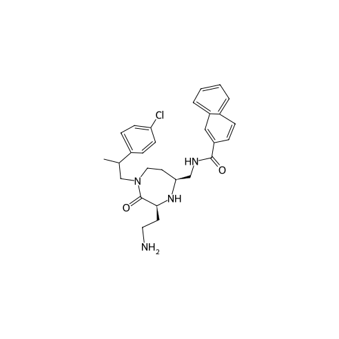 CC(CN1CC[C@@H](CNC(=O)c2ccc3ccccc3c2)N[C@@H](CCN)C1=O)c1ccc(Cl)cc1